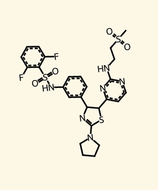 CS(=O)(=O)CCNc1nccc(C2SC(N3CCCC3)=NC2c2cccc(NS(=O)(=O)c3c(F)cccc3F)c2)n1